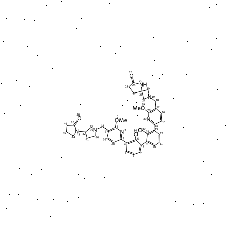 COc1nc(-c2cccc(-c3cccc(-c4ccc(CN5CC6(CCC(=O)N6)C5)c(OC)n4)c3Cl)c2Cl)ccc1CN1CCC(N2CCCC2=O)C1